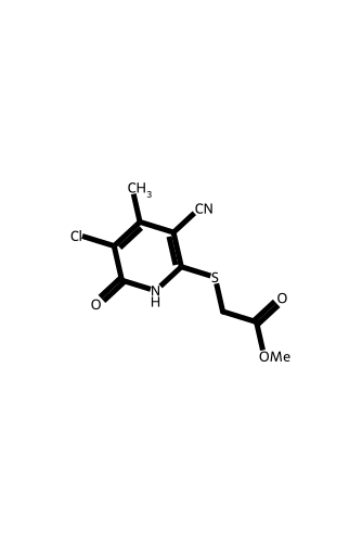 COC(=O)CSc1[nH]c(=O)c(Cl)c(C)c1C#N